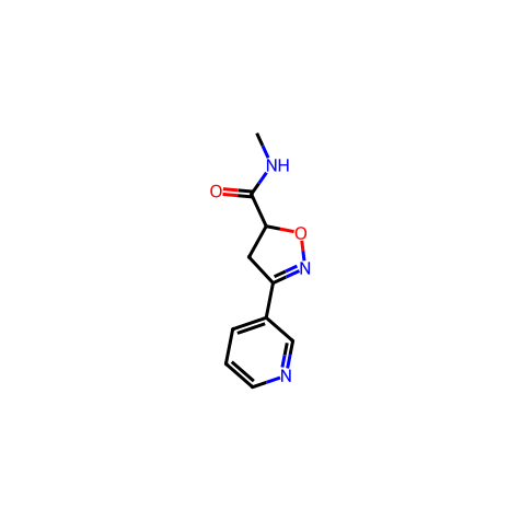 CNC(=O)C1CC(c2cccnc2)=NO1